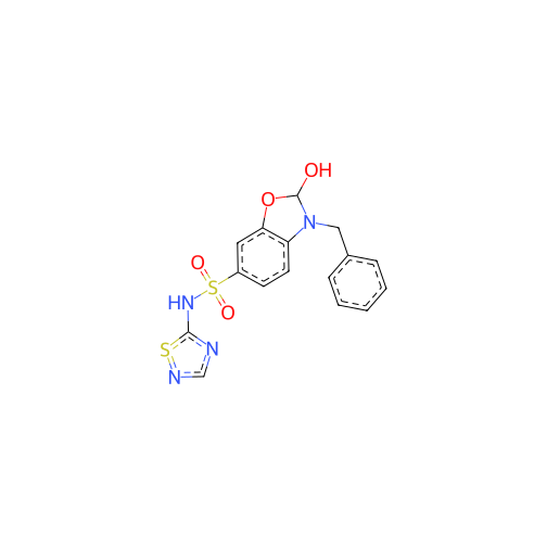 O=S(=O)(Nc1ncns1)c1ccc2c(c1)OC(O)N2Cc1ccccc1